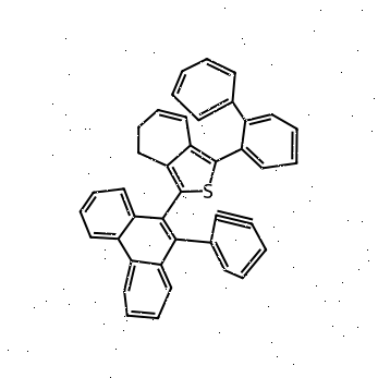 c1cccc(-c2c(-c3sc(-c4ccccc4-c4ccccc4)c4c3CCC=C4)c3ccccc3c3ccccc23)c#1